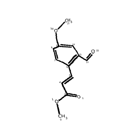 COC(=O)C=Cc1ccc(OC)cc1C=O